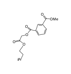 COC(=O)c1cccc(C(=O)OCC(=O)OCCC(C)C)c1